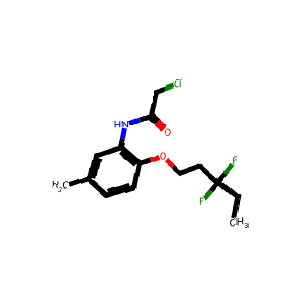 CCC(F)(F)CCOc1ccc(C)cc1NC(=O)CCl